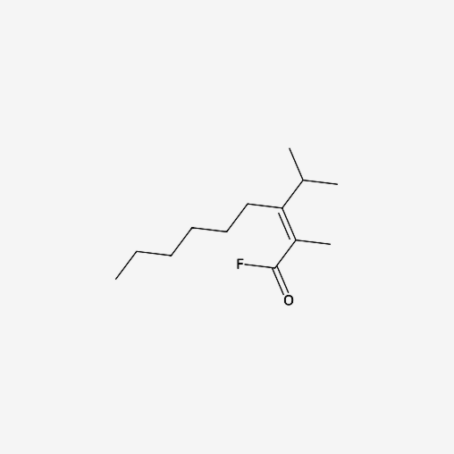 CCCCCCC(=C(C)C(=O)F)C(C)C